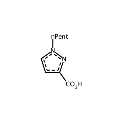 CCCCCn1ccc(C(=O)O)n1